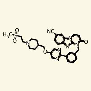 CS(=O)(=O)CCN1CCC(COc2cnc(-c3cccc(Cn4c(=O)ccn5c6cc(C#N)ccc6nc45)c3)nc2)CC1